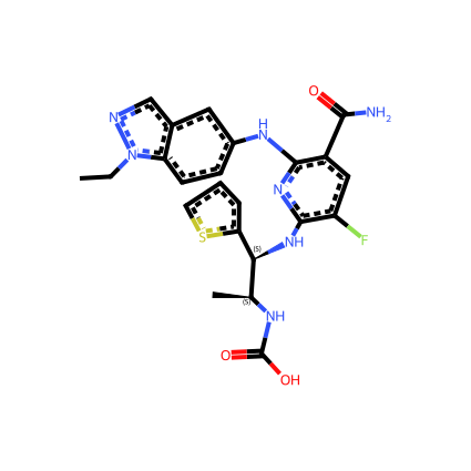 CCn1ncc2cc(Nc3nc(N[C@H](c4cccs4)[C@H](C)NC(=O)O)c(F)cc3C(N)=O)ccc21